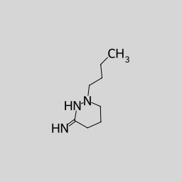 CCCCN1CCCC(=N)N1